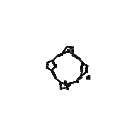 C1=Cc2cc3nnc(nc4nc(cc5ccc(cc1n2)[nH]5)C=N4)[nH]3.[Al]